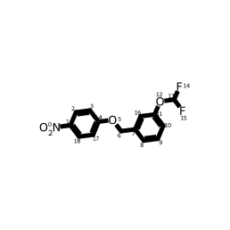 O=[N+]([O-])c1ccc(OCc2cccc(OC(F)F)c2)cc1